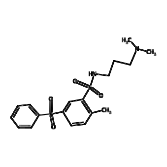 Cc1ccc(S(=O)(=O)c2ccccc2)cc1S(=O)(=O)NCCCN(C)C